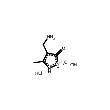 Cc1[nH][nH]c(=O)c1CN.Cl.Cl.O